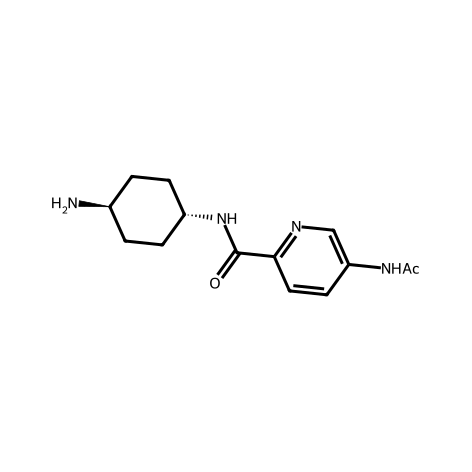 CC(=O)Nc1ccc(C(=O)N[C@H]2CC[C@H](N)CC2)nc1